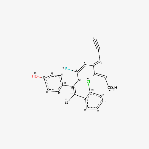 C#C/C=C(/C=C/C(=O)O)\C=C(\F)C/C(=C(/CC)c1ccccc1Cl)c1ccc(O)cc1